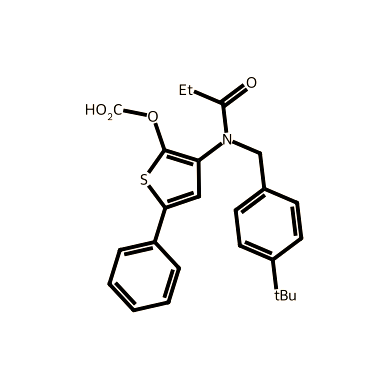 CCC(=O)N(Cc1ccc(C(C)(C)C)cc1)c1cc(-c2ccccc2)sc1OC(=O)O